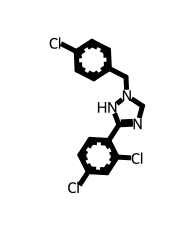 Clc1ccc(CN2CN=C(c3ccc(Cl)cc3Cl)N2)cc1